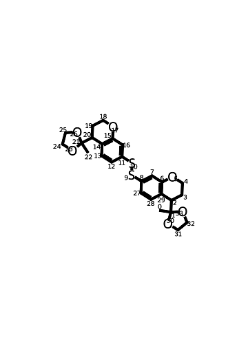 CC1(C2CCOc3cc(SSc4ccc5c(c4)OCCC5C4(C)OCCO4)ccc32)OCCO1